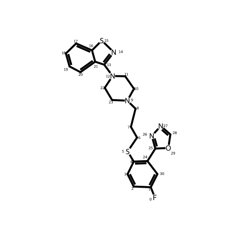 Fc1ccc(SCCCN2CCN(c3nsc4ccccc34)CC2)c(-c2nnco2)c1